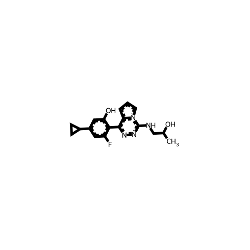 CC(O)CNc1nnc(-c2c(O)cc(C3CC3)cc2F)c2cccn12